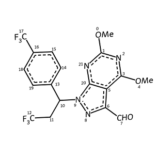 COc1nc(OC)c2c(C=O)nn(C(CC(F)(F)F)c3ccc(C(F)(F)F)cc3)c2n1